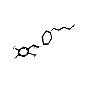 CCCCC[C@H]1CC[C@H](/C=C/c2cc(F)c(F)cc2F)CC1